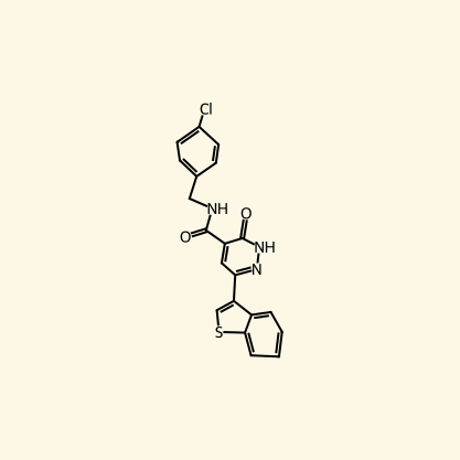 O=C(NCc1ccc(Cl)cc1)c1cc(-c2csc3ccccc23)n[nH]c1=O